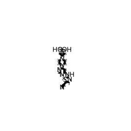 N#Cc1cnc(Nc2cc(N3CCN(C4CS(O)(O)C4)CC3)ncn2)s1